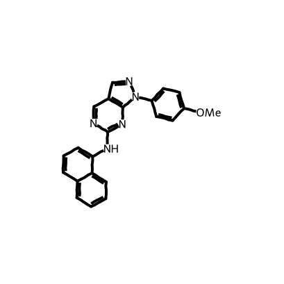 COc1ccc(-n2ncc3cnc(Nc4cccc5ccccc45)nc32)cc1